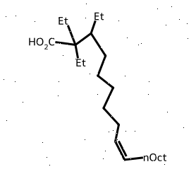 CCCCCCCC/C=C\CCCCCC(CC)C(CC)(CC)C(=O)O